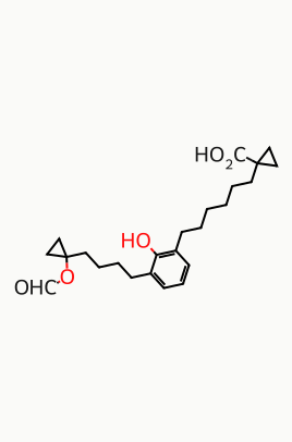 O=COC1(CCCCc2cccc(CCCCCCC3(C(=O)O)CC3)c2O)CC1